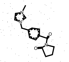 Cn1cc[n+](Cc2ccc(C(=O)N3CCCC3=O)cc2)c1